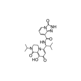 CC(C)[C@H](NC(=O)c1cccn2c(=O)[nH]nc12)c1cc(=O)c(O)c2n1CCN(C(C)C)C2=O